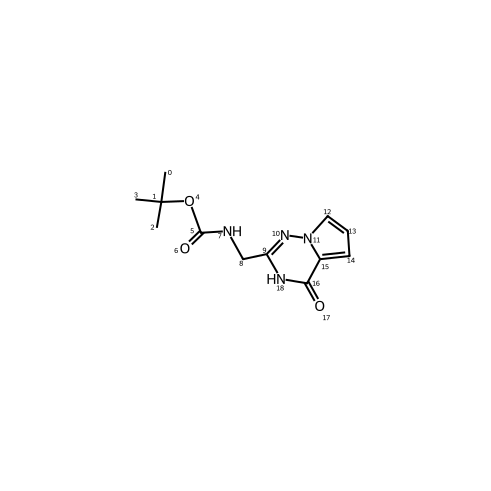 CC(C)(C)OC(=O)NCc1nn2cccc2c(=O)[nH]1